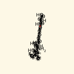 CC(C)(C)[C@H](c1cc(-c2cc(F)ccc2F)cn1Cc1ccccc1)N(CC[C@H](N)C(=O)N[C@H](CNC(=O)CCOCCOCCOCCOCCNC(=O)CNC(=O)CCC(=O)O)C(=O)O)C(=O)CO